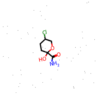 NC(=O)C1(O)CCC(Cl)CO1